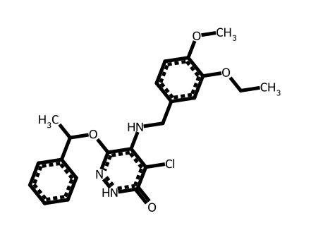 CCOc1cc(CNc2c(OC(C)c3ccccc3)n[nH]c(=O)c2Cl)ccc1OC